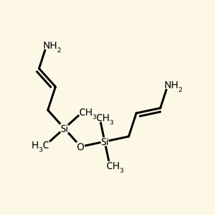 C[Si](C)(CC=CN)O[Si](C)(C)CC=CN